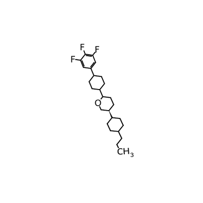 CCCC1CCC([C@@H]2CCC(C3CCC(c4cc(F)c(F)c(F)c4)CC3)OC2)CC1